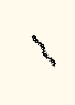 Cc1cc2c(s1)-c1sc(C3C=C4Cc5cc(-c6cc7c(s6)C6SC(C8=CC9=C(C8)CC8C=CC=C98)C=C6C7)sc5C4S3)cc1C2